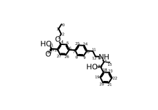 CCCOc1cc(-c2ccc(CCN[C@@H](C)[C@H](O)c3ccccc3)cc2)ccc1C(=O)O